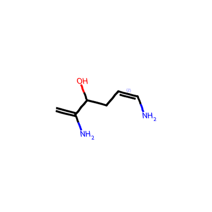 C=C(N)C(O)C/C=C\N